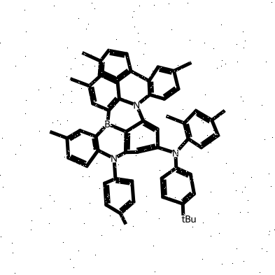 Cc1ccc(-c2cc(C)ccc2N2c3ccc(C)cc3B3c4cc(C)ccc4N(c4ccc(C)cc4)c4cc(N(c5ccc(C(C)(C)C)cc5)c5ccc(C)cc5C)cc2c43)cc1